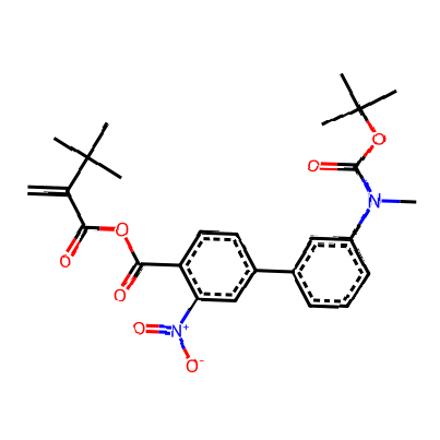 C=C(C(=O)OC(=O)c1ccc(-c2cccc(N(C)C(=O)OC(C)(C)C)c2)cc1[N+](=O)[O-])C(C)(C)C